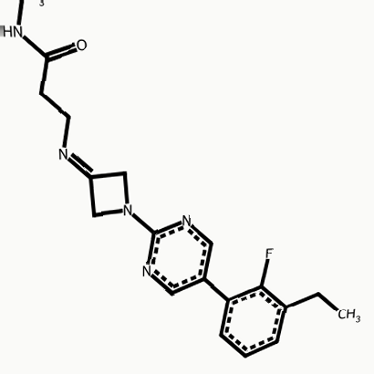 CCc1cccc(-c2cnc(N3CC(=NCCC(=O)NC)C3)nc2)c1F